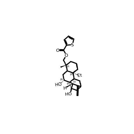 C=C1C2CC[C@]3(C(C2)[C@]2(CC)CCC[C@@](C)(COC(=O)c4cccs4)C2C[C@H]3O)[C@H]1O